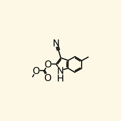 COC(=O)Oc1[nH]c2ccc(C)cc2c1C#N